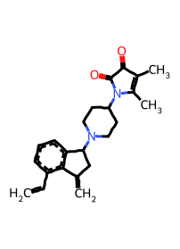 C=Cc1cccc2c1C(=C)CC2N1CCC(N2C(=O)C(=O)C(C)=C2C)CC1